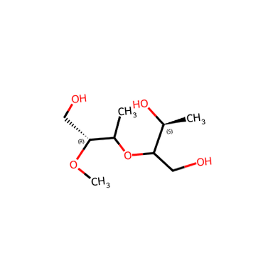 CO[C@H](CO)C(C)OC(CO)[C@H](C)O